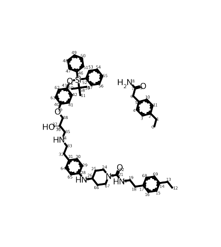 CCc1ccc(CC(N)=O)cc1.CCc1ccc(CCNC(=O)N2CCC(Nc3ccc(CCNC[C@H](O)COc4ccc(O[Si](c5ccccc5)(c5ccccc5)C(C)(C)C)cc4)cc3)CC2)cc1